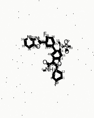 CNC(=O)c1c(-c2ccc(F)cc2)oc2cc(N(C)S(C)(=O)=O)c(-c3ccc(F)c(-c4nc5ncccc5o4)c3)cc12